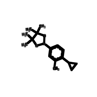 Cc1cc(B2OC(C)(C)C(C)(C)O2)ccc1C1CC1